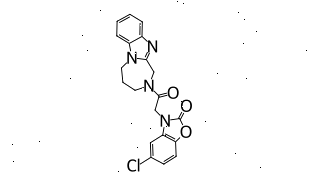 O=C(Cn1c(=O)oc2ccc(Cl)cc21)N1CCCn2c(nc3ccccc32)C1